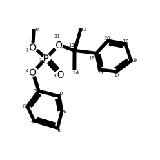 COP(=O)(Oc1ccccc1)OC(C)(C)c1ccccc1